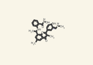 CN/C=C1/C=C(c2oc3c(C(C)Nc4ccccc4C(=O)NO)cc(C)cc3c(=O)c2C)C=CC1=N